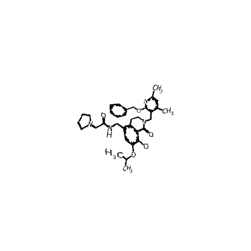 Cc1cc(C)c(CN2CCc3c(CNC(=O)CN4CCCC4)cc(OC(C)C)c(Cl)c3C2=O)c(OCc2ccccc2)n1